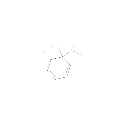 CC(C)NC1(N)C=CC=CC1N